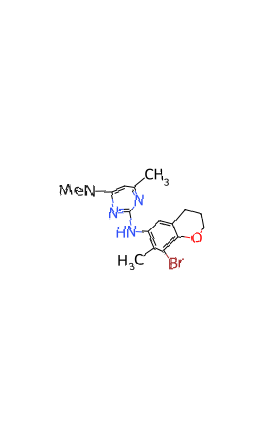 CNc1cc(C)nc(Nc2cc3c(c(Br)c2C)OCCC3)n1